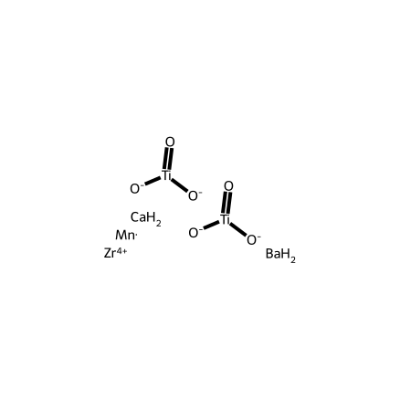 [BaH2].[CaH2].[Mn].[O]=[Ti]([O-])[O-].[O]=[Ti]([O-])[O-].[Zr+4]